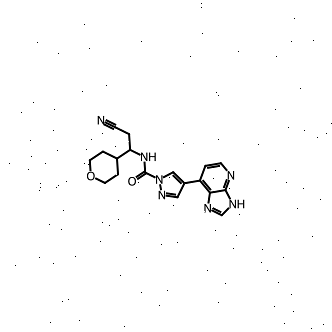 N#CCC(NC(=O)n1cc(-c2ccnc3[nH]cnc23)cn1)C1CCOCC1